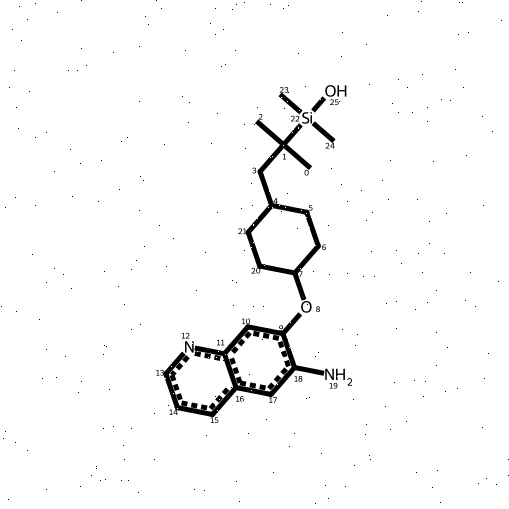 CC(C)(CC1CCC(Oc2cc3ncccc3cc2N)CC1)[Si](C)(C)O